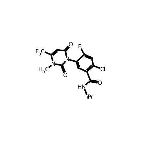 CC(C)NC(=O)c1cc(-n2c(=O)cc(C(F)(F)F)n(C)c2=O)c(F)cc1Cl